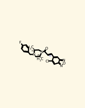 C[C@@H]1CN(Cc2ccc(F)cc2)[C@@H](C)CN1C(=O)/C=C/c1cc2nonc2cc1Cl